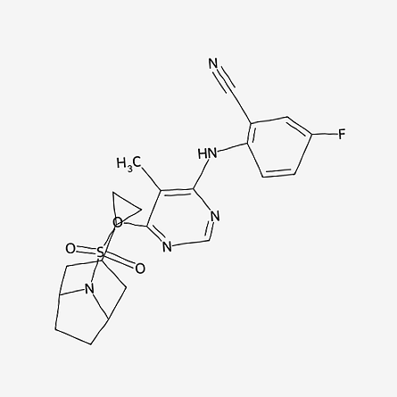 Cc1c(Nc2ccc(F)cc2C#N)ncnc1OC1CC2CCC(C1)N2S(=O)(=O)C1CC1